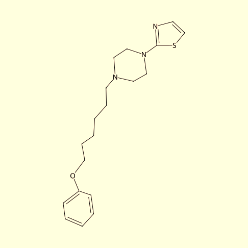 c1ccc(OCCCCCCN2CCN(c3nccs3)CC2)cc1